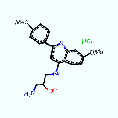 COc1ccc(-c2cc(NCC(O)CN)c3ccc(OC)cc3n2)cc1.Cl